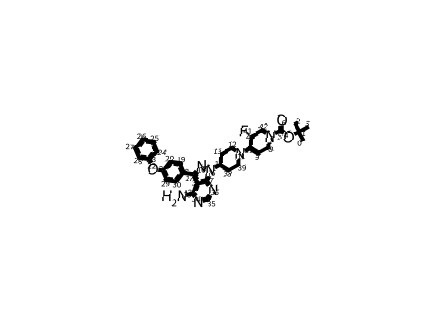 CC(C)(C)OC(=O)N1CCC(N2CCC(n3nc(-c4ccc(Oc5ccccc5)cc4)c4c(N)ncnc43)CC2)[C@H](F)C1